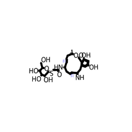 C[C@@H]1C/C=C/[C@@H](NC(=O)CS[C@H]2OC(CO)[C@H](O)C(O)C2O)C/C=C/C(=N)Cc2cc(O)cc(O)c2C(=O)O1